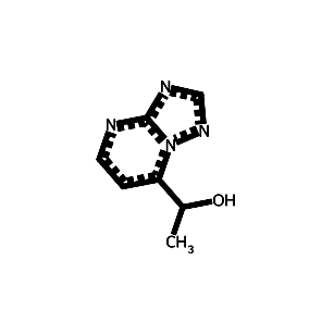 CC(O)c1ccnc2ncnn12